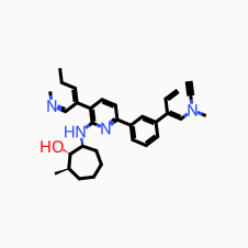 C#CN(C)/C=C(\C=C)c1cccc(-c2ccc(C(/C=N\C)=C/CC)c(N[C@H]3CCCC[C@@H](C)[C@@H]3O)n2)c1